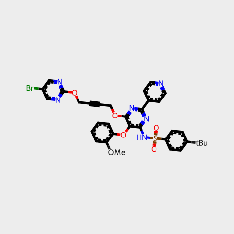 COc1ccccc1Oc1c(NS(=O)(=O)c2ccc(C(C)(C)C)cc2)nc(-c2ccncc2)nc1OCC#CCOc1ncc(Br)cn1